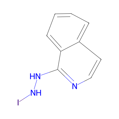 INNc1nccc2ccccc12